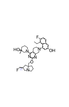 CCc1c(F)ccc2cc(O)cc(N3CCc4c(nc(OCC56CCCN5C/C(=C\F)C6)nc4N4CCC[C@@](C)(O)C4)C3)c12